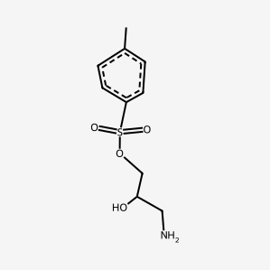 Cc1ccc(S(=O)(=O)OCC(O)CN)cc1